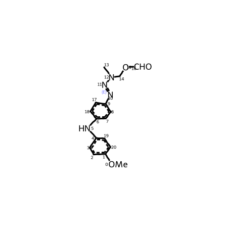 COc1ccc(Nc2ccc(/N=N/N(C)COC=O)cc2)cc1